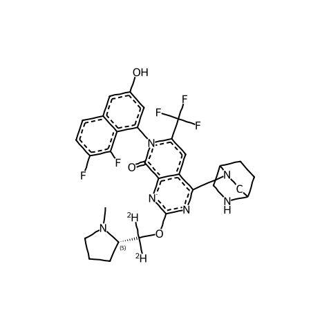 [2H]C([2H])(Oc1nc(N2CC3CCC2CN3)c2cc(C(F)(F)F)n(-c3cc(O)cc4ccc(F)c(F)c34)c(=O)c2n1)[C@@H]1CCCN1C